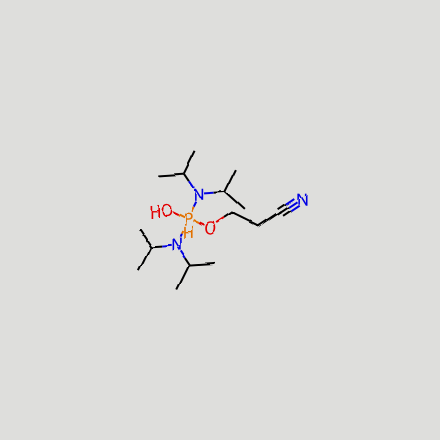 CC(C)N(C(C)C)[PH](O)(OCCC#N)N(C(C)C)C(C)C